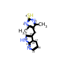 Cc1nc(S)nc(C)c1CC1=CNC2=NC=CCC12